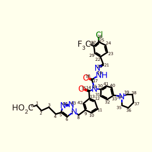 O=C(O)CCCCc1cn(Cc2cccc(C(=O)N(C(=O)NN=Cc3ccc(Cl)c(C(F)(F)F)c3)c3ccc(N4CCCCC4)cc3)c2)nn1